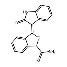 NC(=O)C1OC(=C2C(=O)Nc3ccccc32)c2ccccc21